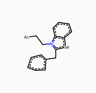 CC(=O)CC[n+]1c(Cc2ccccc2)[se]c2ccccc21